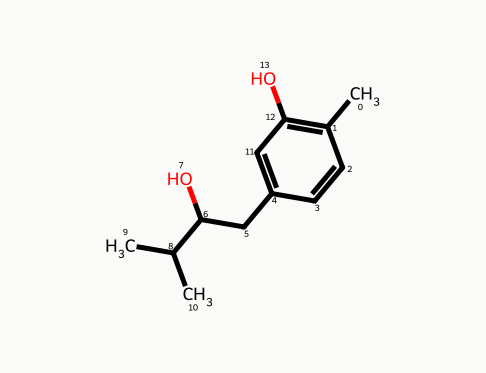 Cc1ccc(CC(O)C(C)C)cc1O